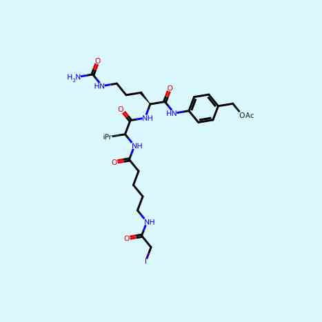 CC(=O)OCc1ccc(NC(=O)[C@H](CCCNC(N)=O)NC(=O)C(NC(=O)CCCCNC(=O)CI)C(C)C)cc1